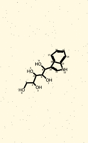 OCC(O)C(O)C(O)C(O)c1c[nH]c2ccccc12